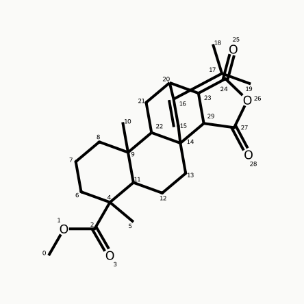 COC(=O)C1(C)CCCC2(C)C1CCC13C=C(C(C)C)C(CC21)C1C(=O)OC(=O)C13